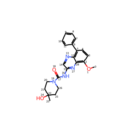 COc1ccc(-c2ccccc2)c2ncc(NC(=O)N3CCC(C)(O)CC3)nc12